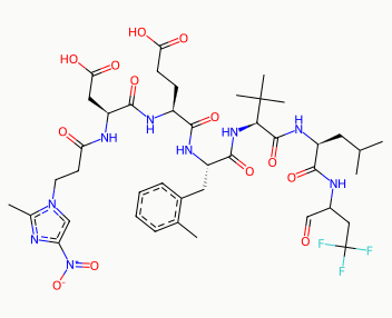 Cc1ccccc1C[C@H](NC(=O)[C@H](CCC(=O)O)NC(=O)[C@H](CC(=O)O)NC(=O)CCn1cc([N+](=O)[O-])nc1C)C(=O)N[C@H](C(=O)N[C@@H](CC(C)C)C(=O)NC(C=O)CC(F)(F)F)C(C)(C)C